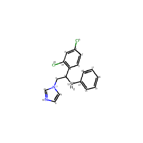 Clc1ccc(C(Cn2ccnc2)[SiH2]c2ccccc2)c(Cl)c1